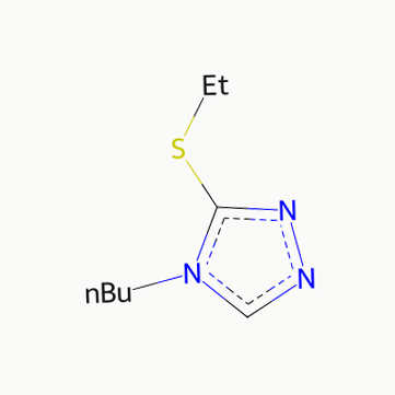 CCCCn1cnnc1SCC